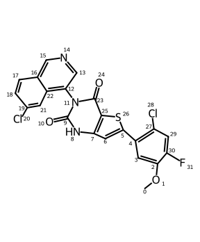 COc1cc(-c2cc3[nH]c(=O)n(-c4cncc5ccc(Cl)cc45)c(=O)c3s2)c(Cl)cc1F